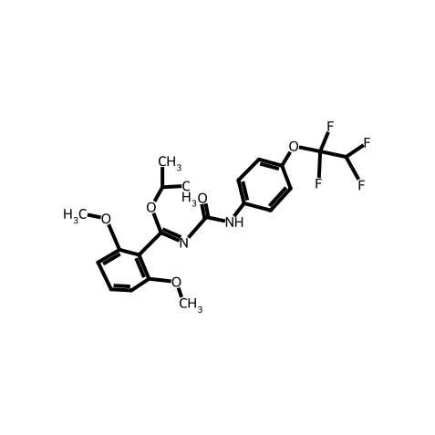 COc1cccc(OC)c1C(=NC(=O)Nc1ccc(OC(F)(F)C(F)F)cc1)OC(C)C